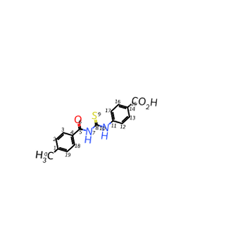 Cc1ccc(C(=O)NC(=S)Nc2ccc(C(=O)O)cc2)cc1